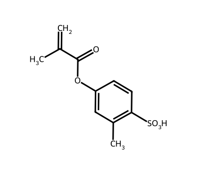 C=C(C)C(=O)Oc1ccc(S(=O)(=O)O)c(C)c1